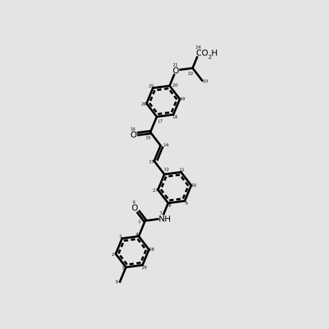 Cc1ccc(C(=O)Nc2cccc(/C=C/C(=O)c3ccc(OC(C)C(=O)O)cc3)c2)cc1